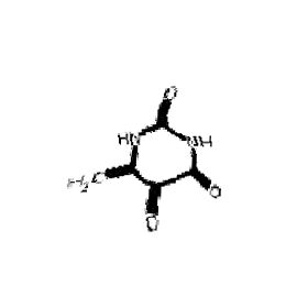 C=C1NC(=O)NC(=O)C1=O